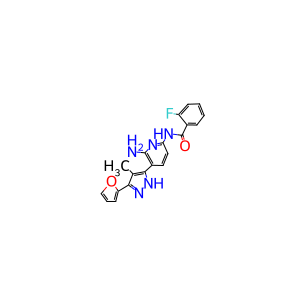 Cc1c(-c2ccco2)n[nH]c1-c1ccc(NC(=O)c2ccccc2F)nc1N